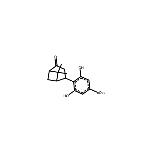 CCCCCCCCc1cc(O)c(C2CC(=O)C3CC2C3(C)C)c(O)c1